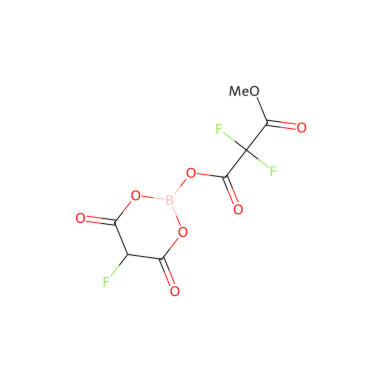 COC(=O)C(F)(F)C(=O)OB1OC(=O)C(F)C(=O)O1